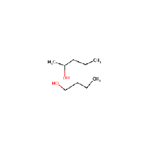 CCCC(C)O.CCCCO